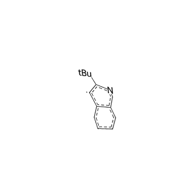 CC(C)(C)c1[c]c2ccccc2cn1